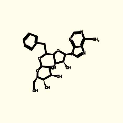 Nc1ncnc2c1ncn2[C@@H]1O[C@H](C(Cc2ccccc2)OC2O[C@H](CO)[C@@H](O)[C@H](O)[C@@H]2O)[C@@H](O)[C@H]1O